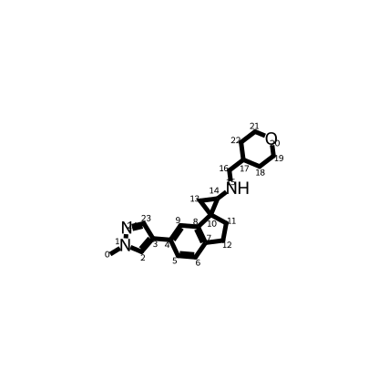 Cn1cc(-c2ccc3c(c2)C2(CC3)CC2NCC2CCOCC2)cn1